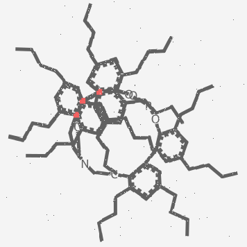 CCCCc1cc(CCCC)c2c(c1)-c1cc(CCCC)cc(CCCC)c1OP1Oc3c(CCCC)cc(CCCC)cc3-c3cc(CCCC)cc(CCCC)c3CCN(CC2)CCc2c(CCCC)cc(CCCC)cc2-c2cc(CCCC)cc(CCCC)c2O1